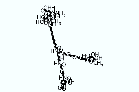 CC(=O)N[C@H]1[C@H]([C@H](OC(=O)NCCCCCCCCCCCC(=O)N[C@H](CCCCNC(=O)CCOCCNc2ccc([N+](=O)[O-])cc2[N+](=O)[O-])C(=O)NCCOCCOCCOCCO[C@@H]2O[C@@H](C)[C@H](O)[C@@H](O)[C@H]2O)[C@H](O)CO)OC(C(=O)O)=C[C@@H]1NC(=N)N